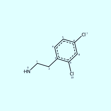 [NH]CCc1ccc(Cl)cc1Cl